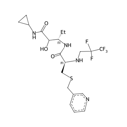 CC[C@H](NC(=O)[C@H](CSCc1cccnc1)NCC(F)(F)C(F)(F)F)C(O)C(=O)NC1CC1